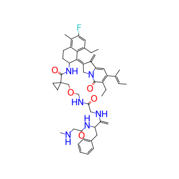 C=C1/C(=C2\c3c(CC)cc(F)c(C)c3CCC2NC(=O)C2(COCNC(=O)CNC(=C)C(Cc3ccccc3)NC(=O)CNC)CC2)Cn2c1cc(/C(C)=C/C)c(CC)c2=O